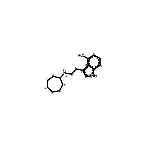 Oc1cccc2[nH]cc(CCNC3CCCCCC3)c12